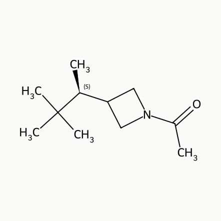 CC(=O)N1CC([C@H](C)C(C)(C)C)C1